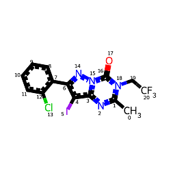 Cc1nc2c(I)c(-c3ccccc3Cl)nn2c(=O)n1CC(F)(F)F